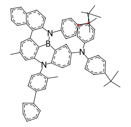 Cc1cc2c3c(c1)N(c1ccc(-c4ccccc4)cc1C)c1ccc(N(c4ccc(C(C)(C)C)cc4)c4ccc(C(C)(C)C)cc4)cc1B3N(c1ccc(C(C)(C)C)cc1)c1ccc3ccccc3c1-2